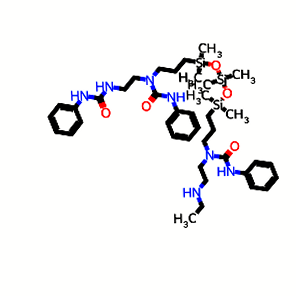 CCNCCN(CCC[Si](C)(C)O[Si](C)(C)O[Si](C)(C)CCCN(CCNC(=O)Nc1ccccc1)C(=O)Nc1ccccc1)C(=O)Nc1ccccc1